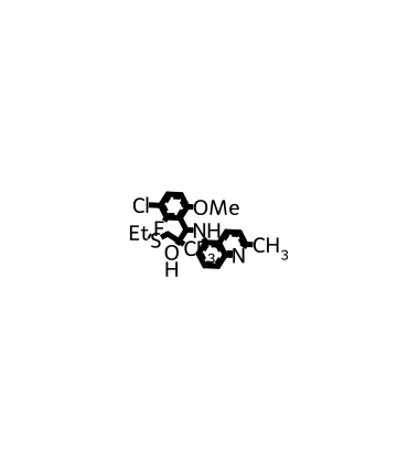 CCSCC(O)(C(Nc1cccc2nc(C)ccc12)c1c(OC)ccc(Cl)c1F)C(F)(F)F